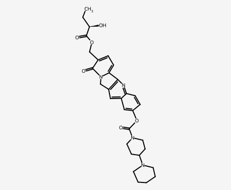 CC[C@@H](O)C(=O)OCc1ccc2n(c1=O)Cc1cc3cc(OC(=O)N4CCC(N5CCCCC5)CC4)ccc3nc1-2